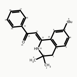 CC1(C)Cc2ccc(C(C)(C)C)cc2/C(=C/C(=O)c2ccccc2)N1